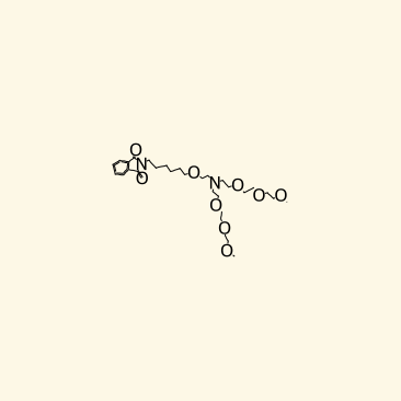 COCCOCCOCCN(CCOCCCCCCN1C(=O)c2ccccc2C1=O)CCOCCOCCOC